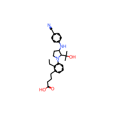 CCc1c(CCCC(=O)O)cccc1N1CCC(Nc2ccc(C#N)cc2)C1C(C)(C)O